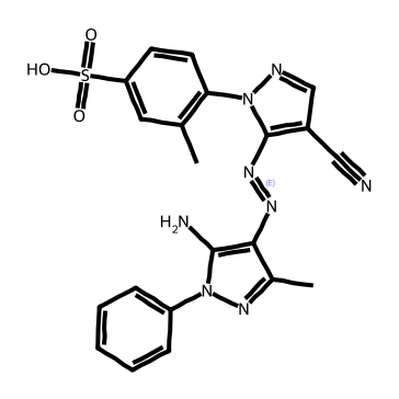 Cc1cc(S(=O)(=O)O)ccc1-n1ncc(C#N)c1/N=N/c1c(C)nn(-c2ccccc2)c1N